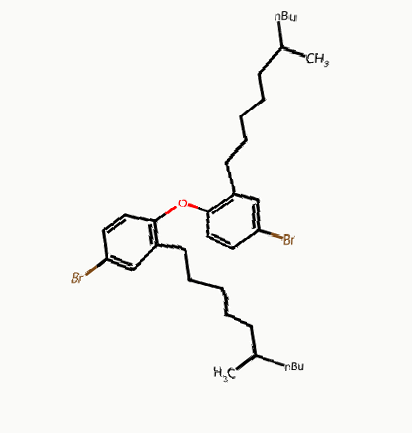 CCCCC(C)CCCCCc1cc(Br)ccc1Oc1ccc(Br)cc1CCCCCC(C)CCCC